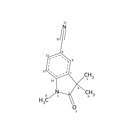 CN1C(=O)C(C)(C)c2cc(C#N)ccc21